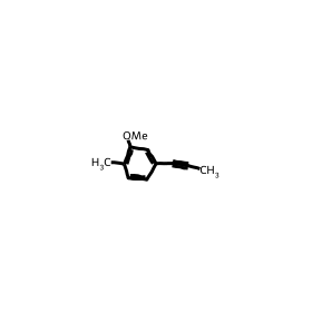 CC#Cc1ccc(C)c(OC)c1